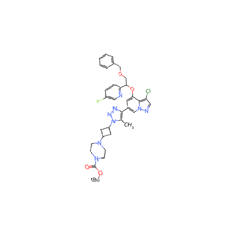 Cc1c(-c2cc(OC(COCc3ccccc3)c3ccc(F)cn3)c3c(Cl)cnn3c2)nnn1C1CC(N2CCN(C(=O)OC(C)(C)C)CC2)C1